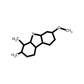 COC1CCC2C(C1)SC1C(C)C(C)CCC21